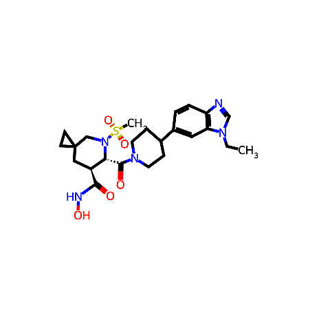 CCn1cnc2ccc(C3CCN(C(=O)[C@@H]4[C@@H](C(=O)NO)CC5(CC5)CN4S(C)(=O)=O)CC3)cc21